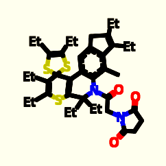 CCC1=C(CC)c2c(cc3c(c2C)N(C(=O)CN2C(=O)CCC2=O)C(CC)(CC)C2=C3C3(SC(CC)=C(CC)S3)C(CC)=C(CC)S2)C1